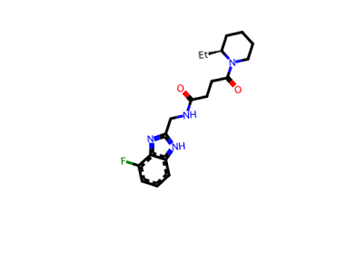 CC[C@H]1CCCCN1C(=O)CCC(=O)NCc1nc2c(F)cccc2[nH]1